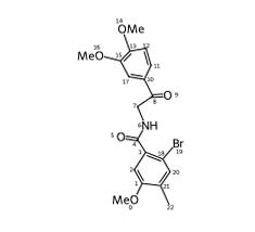 COc1cc(C(=O)NCC(=O)c2ccc(OC)c(OC)c2)c(Br)cc1C